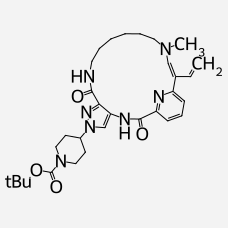 C=C/C1=C\N(C)CCCCCCNC(=O)c2nn(C3CCN(C(=O)OC(C)(C)C)CC3)cc2NC(=O)c2cccc1n2